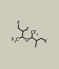 FCC(F)C(OC(C(F)CF)C(F)(F)F)C(F)(F)F